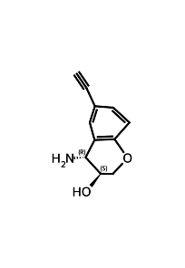 C#Cc1ccc2c(c1)[C@@H](N)[C@H](O)CO2